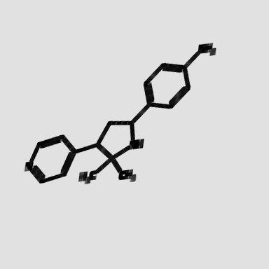 CC1(C)NC(c2ccc(N)cc2)CC1c1ccncc1